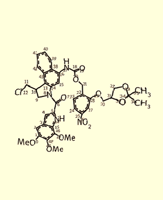 COc1cc2cc(C(=O)N3CC(CCl)c4c3cc(NC(=O)OCc3ccc([N+](=O)[O-])cc3OCC3COC(C)(C)O3)c3ccccc43)[nH]c2c(OC)c1OC